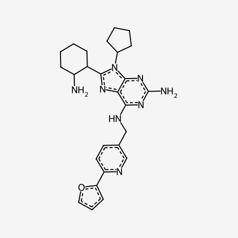 Nc1nc(NCc2ccc(-c3ccco3)nc2)c2nc(C3CCCCC3N)n(C3CCCC3)c2n1